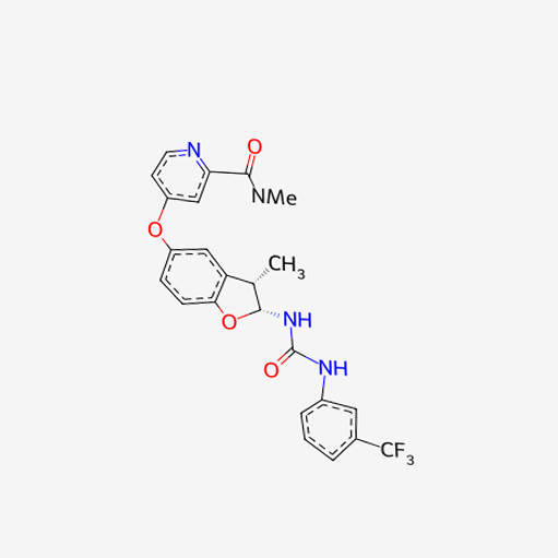 CNC(=O)c1cc(Oc2ccc3c(c2)[C@H](C)[C@H](NC(=O)Nc2cccc(C(F)(F)F)c2)O3)ccn1